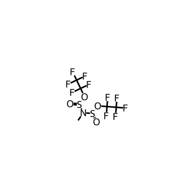 CN(S(=O)OC(F)(F)C(F)(F)F)S(=O)OC(F)(F)C(F)(F)F